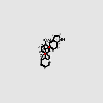 COc1ccc(C2C3C=CCN2CN(C(=O)c2ccc4[nH]ccc4c2)O3)cc1